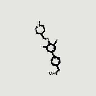 CNCc1ccc(-c2cc(F)c(OCC3CCNCC3)c(F)c2)cc1